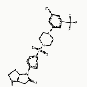 O=C1CC2NCCC2N1c1ccc(S(=O)(=O)N2CCN(c3cc(C(F)(F)F)cc(Cl)n3)CC2)cc1